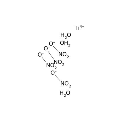 O.O.O.O=[N+]([O-])[O-].O=[N+]([O-])[O-].O=[N+]([O-])[O-].O=[N+]([O-])[O-].[Ti+4]